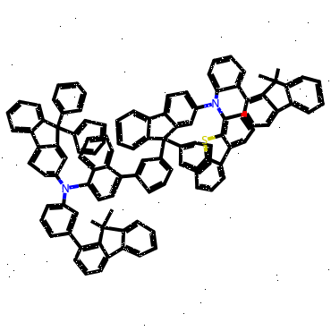 CC1(C)c2ccccc2-c2cccc(-c3cccc(N(c4ccc5c(c4)C(c4ccccc4)(c4ccccc4)c4ccccc4-5)c4ccc(-c5cccc(C6(c7ccccc7)c7ccccc7-c7ccc(N(c8ccccc8-c8cccc9c8C(C)(C)c8ccccc8-9)c8cccc9c8sc8ccccc89)cc76)c5)c5ccccc45)c3)c21